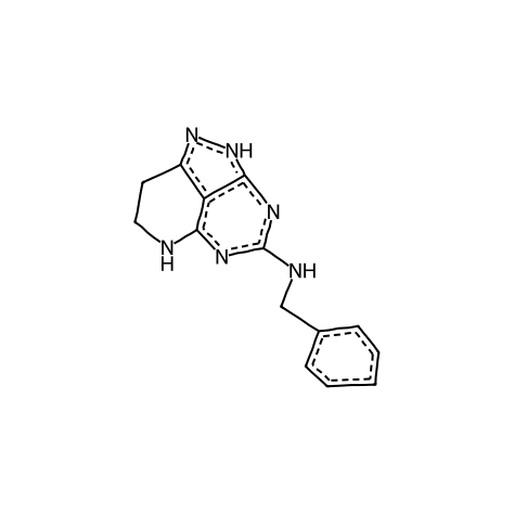 c1ccc(CNc2nc3c4c(n[nH]c4n2)CCN3)cc1